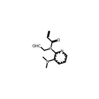 C=CC(=O)N(C[C]=O)c1ncccc1N(C)C